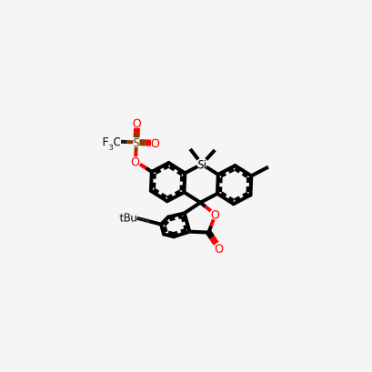 Cc1ccc2c(c1)[Si](C)(C)c1cc(OS(=O)(=O)C(F)(F)F)ccc1C21OC(=O)c2ccc(C(C)(C)C)cc21